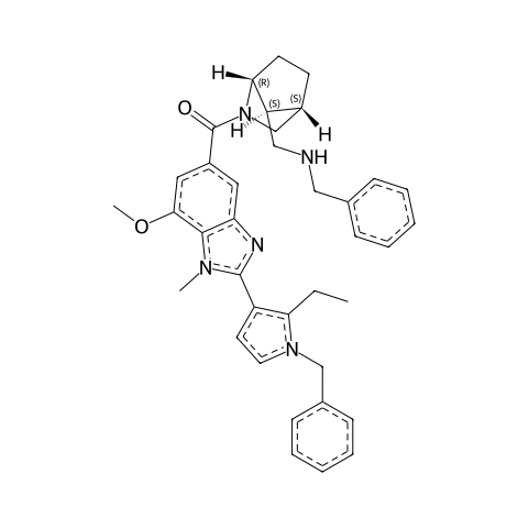 CCc1c(-c2nc3cc(C(=O)N4C[C@H]5CC[C@@H]4[C@@H]5CNCc4ccccc4)cc(OC)c3n2C)ccn1Cc1ccccc1